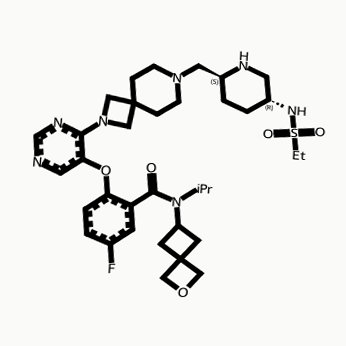 CCS(=O)(=O)N[C@@H]1CC[C@@H](CN2CCC3(CC2)CN(c2ncncc2Oc2ccc(F)cc2C(=O)N(C(C)C)C2CC4(COC4)C2)C3)NC1